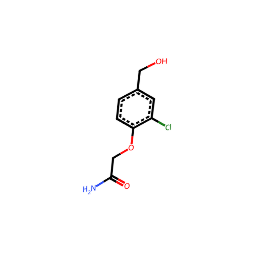 NC(=O)COc1ccc(CO)cc1Cl